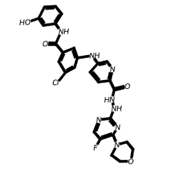 O=C(Nc1cccc(O)c1)c1cc(Cl)cc(Nc2ccc(C(=O)NNc3ncc(F)c(N4CCOCC4)n3)nc2)c1